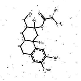 [2H]C1(OC(=O)[C@@H](N)C(C)C)CC2([2H])c3cc(OC)c(OC)cc3CCN2CC1CC(C)C